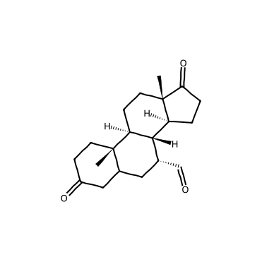 C[C@]12CCC(=O)CC1C[C@@H](C=O)[C@@H]1[C@@H]2CC[C@]2(C)C(=O)CC[C@@H]12